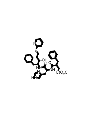 CCOC(=O)CC(Cc1ccccc1)C(=O)N[C@@H](Cc1c[nH]cn1)C(=O)N[C@@H](CC1CCCCC1)[C@@H](O)CCSc1ccccn1